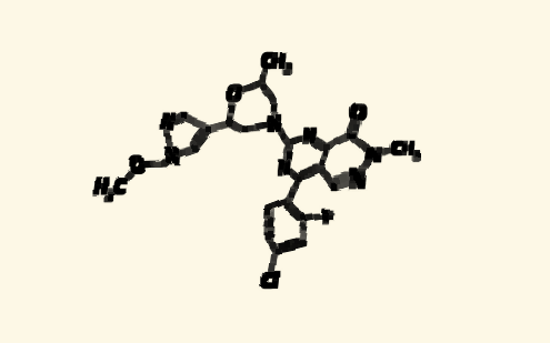 COCn1cc(C2CN(c3nc(-c4ccc(Cl)cc4F)c4cnn(C)c(=O)c4n3)CC(C)O2)cn1